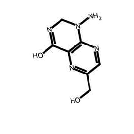 NN1CN=C(O)c2nc(CO)cnc21